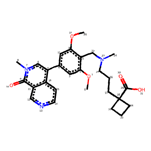 COc1cc(-c2cn(C)c(=O)c3cnccc23)cc(OC)c1CN(C)CCCC1(C(=O)O)CCC1